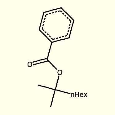 CCCCCCC(C)(C)OC(=O)c1ccccc1